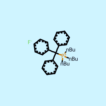 CCCC[P+](CCCC)(CCCC)C(c1ccccc1)(c1ccccc1)c1ccccc1.[F-]